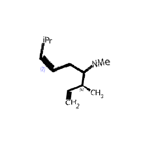 C=C[C@H](C)C(C/C=C\C(C)C)NC